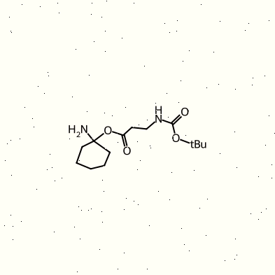 CC(C)(C)OC(=O)NCCC(=O)OC1(N)CCCCC1